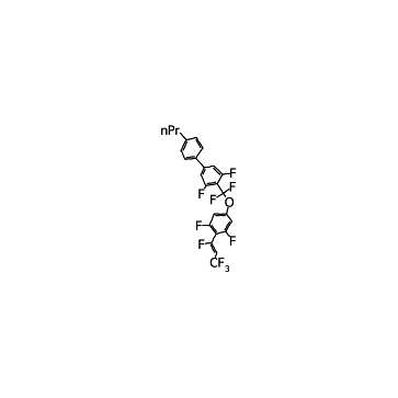 CCCc1ccc(-c2cc(F)c(C(F)(F)Oc3cc(F)c(/C(F)=C/C(F)(F)F)c(F)c3)c(F)c2)cc1